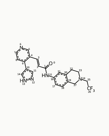 O=C(C=Cc1cnccc1-c1cn[nH]c1)Nc1ccc2c(c1)CCN(CC(F)(F)F)C2